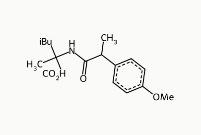 CCC(C)C(C)(NC(=O)C(C)c1ccc(OC)cc1)C(=O)O